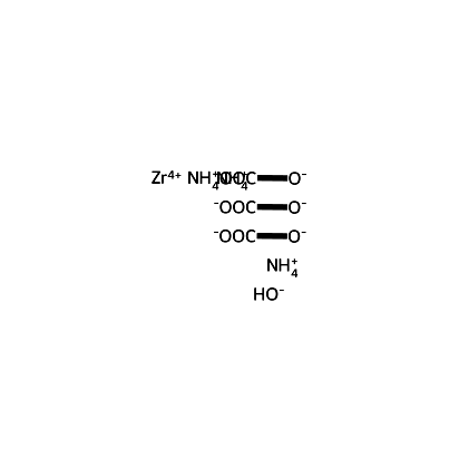 O=C([O-])[O-].O=C([O-])[O-].O=C([O-])[O-].[NH4+].[NH4+].[NH4+].[OH-].[Zr+4]